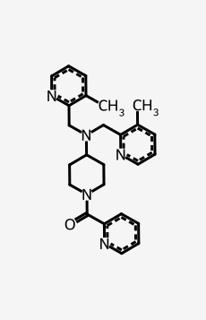 Cc1cccnc1CN(Cc1ncccc1C)C1CCN(C(=O)c2ccccn2)CC1